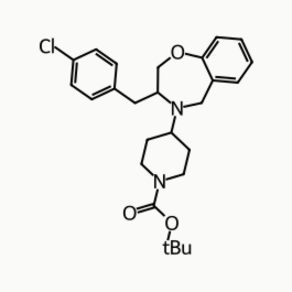 CC(C)(C)OC(=O)N1CCC(N2Cc3ccccc3OCC2Cc2ccc(Cl)cc2)CC1